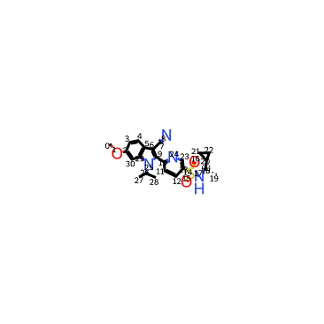 COc1ccc2c(C#N)c(-c3ccc(S(=O)(=O)N[C@@H](C)C4CC4)cn3)n(C(C)C)c2c1